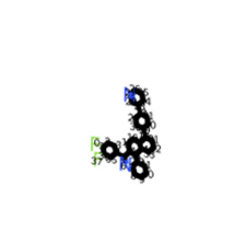 Fc1ccc(-c2nc3ccccc3c3c2ccc2c(-c4ccc(-c5cccnc5)cc4)cccc23)cc1F